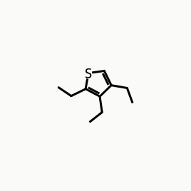 CCc1csc(CC)c1CC